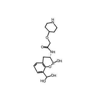 O=C(COC1CCNCC1)N[C@H]1Cc2cccc(C(O)O)c2OB1O